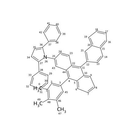 Cc1cc(-c2c3ccccc3c(-c3ccc4ccccc4c3)c3ccc(-n4c(-c5ccccc5)ccc4-c4ccccc4)cc23)cc(C)c1C